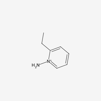 CCc1cccc[n+]1N